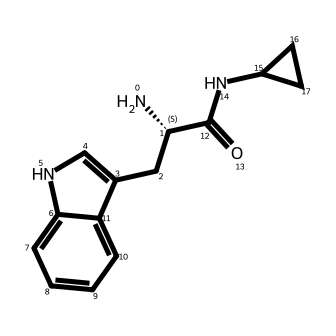 N[C@@H](Cc1c[nH]c2ccccc12)C(=O)NC1CC1